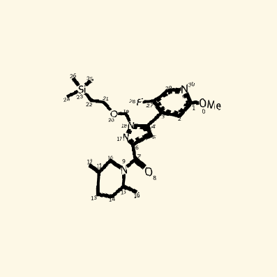 COc1cc(-c2cc(C(=O)N3CC(C)CCC3C)nn2COCC[Si](C)(C)C)c(F)cn1